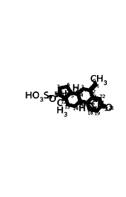 CC=C1C[C@H]2[C@@H]3CC[C@H](OS(=O)(=O)O)[C@@]3(C)CC[C@@H]2[C@@]2(C)C=CC(=O)C=C12